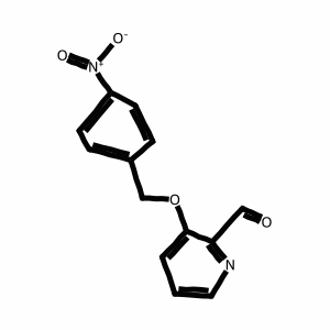 O=Cc1ncccc1OCc1ccc([N+](=O)[O-])cc1